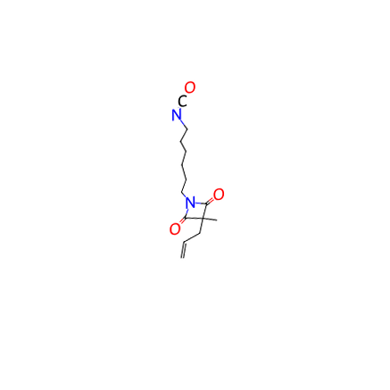 C=CCC1(C)C(=O)N(CCCCCCN=C=O)C1=O